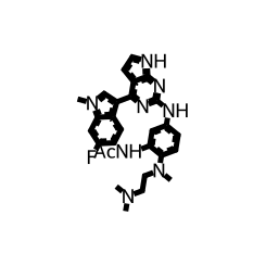 CC(=O)Nc1cc(Nc2nc(-c3cn(C)c4cc(F)ccc34)c3cc[nH]c3n2)ccc1N(C)CCN(C)C